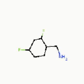 NCC1CCC(F)CC1F